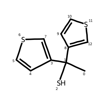 CC(S)(c1ccsc1)c1ccsc1